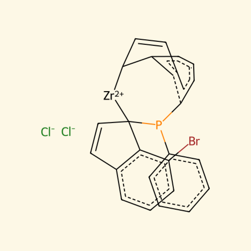 Brc1cccc2c1[C]1(C=C2)[Zr+2][CH]2C=Cc3c2cccc3P1c1ccccc1.[Cl-].[Cl-]